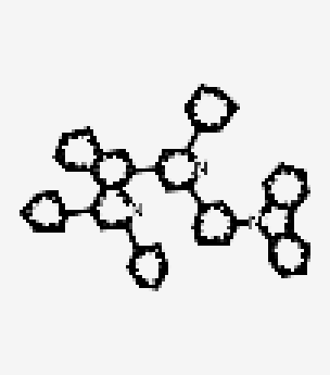 c1ccc(-c2cc(-c3cc4ccccc4c4c(-c5ccccc5)cc(-c5ccccc5)nc34)cc(-c3cccc(-n4c5ccccc5c5ccccc54)c3)n2)cc1